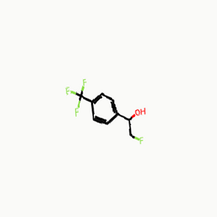 OC(CF)c1ccc(C(F)(F)F)cc1